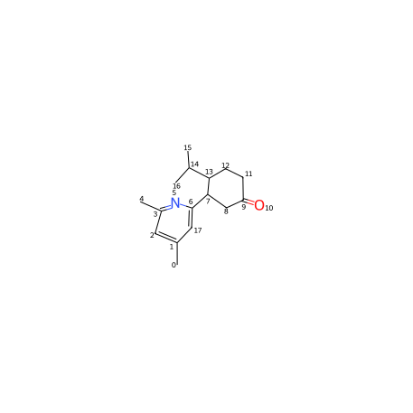 Cc1cc(C)nc(C2CC(=O)CCC2C(C)C)c1